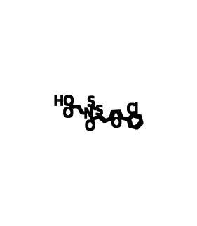 O=C(O)CCN1C(=O)C(=Cc2ccc(-c3ccccc3Cl)o2)SC1=S